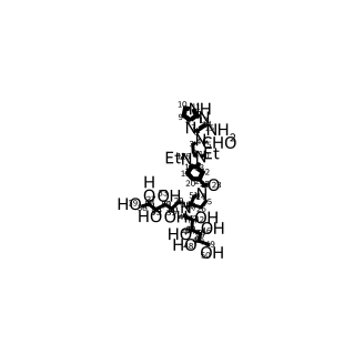 CCn1c(CN(C=O)c2nc3cc[nH]c3nc2N)[n+](CC)c2ccc(C(=O)N3CC[C@@H](N(C[C@H](O)[C@@H](O)[C@H](O)[C@H](O)CO)C[C@H](O)[C@@H](O)[C@H](O)[C@H](O)CO)C3)cc21